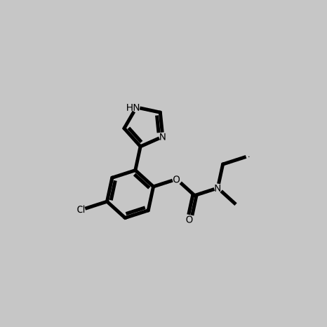 [CH2]CN(C)C(=O)Oc1ccc(Cl)cc1-c1c[nH]cn1